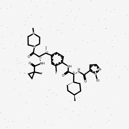 CCn1nccc1C(=O)N[C@@H](C(=O)Nc1ccc([C@@H](C)[C@H](NC(=O)C2(F)CC2)C(=O)N2CCN(C)CC2)cc1F)[C@H]1CC[C@H](C)CC1